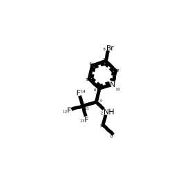 CCNC(c1ccc(Br)cn1)C(F)(F)F